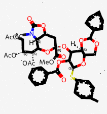 COC(=O)[C@]1(OC2C(OC(=O)c3ccccc3)[C@H](Sc3ccc(C)cc3)OC3COC(c4ccccc4)O[C@@H]32)CC2OC(=O)N(C(C)=O)[C@@H]2C([C@H](OC(C)=O)[C@@H](COC(C)=O)OC(C)=O)O1